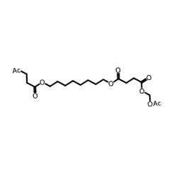 CC(=O)CCC(=O)OCCCCCCCCOC(=O)CCC(=O)OCOC(C)=O